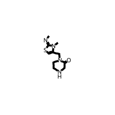 CN=c1scc(CN2CCNCC2=O)n1C